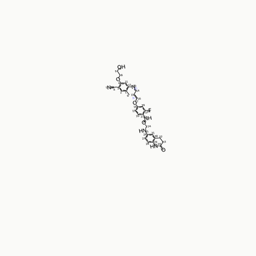 Cc1cc(C#N)c(OCCO)cc1/N=C\C=C\Oc1ccc(NOCNc2ccc3c(c2)CCC(=O)N3)c(F)c1